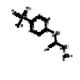 CCCCCCNC(=O)Nc1ccc(S(=O)(=O)Cl)cc1